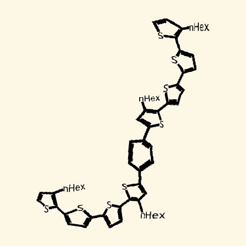 CCCCCCc1ccsc1-c1ccc(-c2ccc(-c3sc(-c4ccc(-c5cc(CCCCCC)c(-c6ccc(-c7ccc(-c8sccc8CCCCCC)s7)s6)s5)cc4)cc3CCCCCC)s2)s1